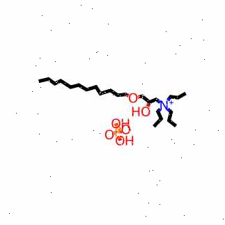 CCCCCCCCCCCCOCC(O)C[N+](CCC)(CCC)CCC.O=P([O-])(O)O